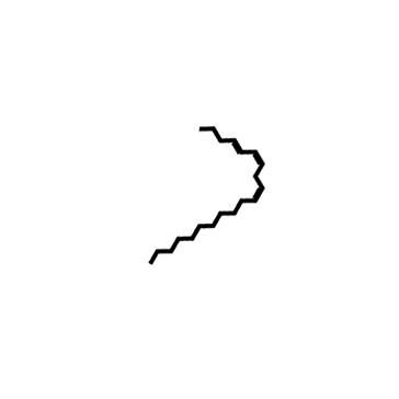 CCC/C=C/C=C\C/C=C\CCCCCCCCCC